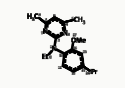 CCN(c1nc(C)cc(C)n1)c1ccc(C(C)C)cc1OC